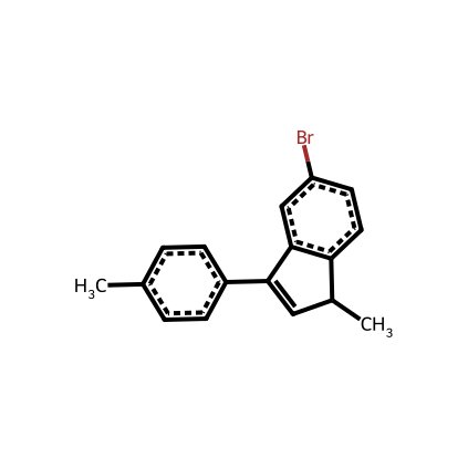 Cc1ccc(C2=CC(C)c3ccc(Br)cc32)cc1